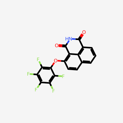 O=C1NC(=O)c2c(Oc3c(F)c(F)c(F)c(F)c3F)ccc3cccc1c23